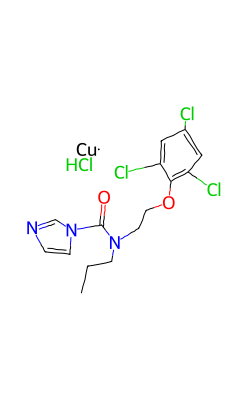 CCCN(CCOc1c(Cl)cc(Cl)cc1Cl)C(=O)n1ccnc1.Cl.[Cu]